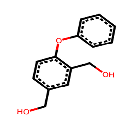 OCc1ccc(Oc2ccccc2)c(CO)c1